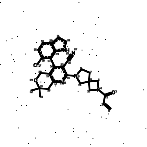 C=CC(=O)N1CC2(CCN(c3nc4c(c(-c5c(Cl)ccc6cc[nH]c56)c3C#N)COC(C)(C)C4)C2)C1